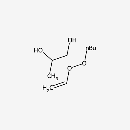 C=COOCCCC.CC(O)CO